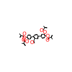 C=C(C)C(=O)Oc1ccc(-c2ccc(-c3ccc(OC(=O)C(=C)C)c(OC(=O)C(=C)C)c3)c(C3CO3)c2)cc1OC(=O)C(=C)C